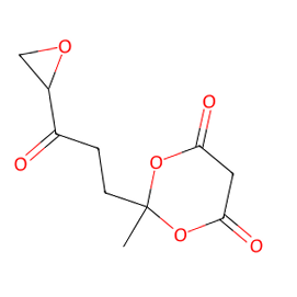 CC1(CCC(=O)C2CO2)OC(=O)CC(=O)O1